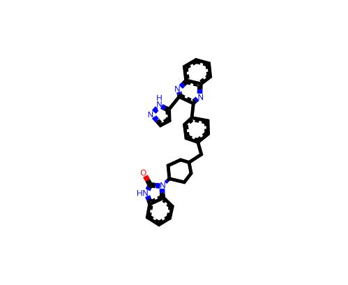 O=c1[nH]c2ccccc2n1C1CCC(Cc2ccc(-c3nc4ccccc4nc3-c3ccn[nH]3)cc2)CC1